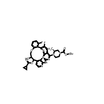 CC(C)c1nccc2c1-n1c(=O)nc(N3CCN(C(=O)OC(C)(C)C)C[C@@H]3C)c3cc(F)c(nc31)-c1c(F)cccc1OCC(O)C2OC(=O)C1CC1